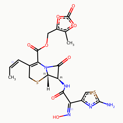 C/C=C\C1=C(C(=O)OCc2oc(=O)oc2C)N2C(=O)[C@@H](NC(=O)/C(=N\O)c3csc(N)n3)[C@@H]2SC1